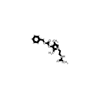 CC(=O)NCCn1cc(C)c(OC(=O)OCc2ccccc2)c1C